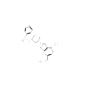 CCN1C(CO)=CCC(C)C2=C1CN([C@H]1CO[C@H](c3cc(F)ccc3F)[C@@H](N)C1)C2